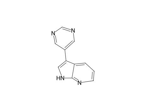 c1cnc2[nH]cc(-c3cncnc3)c2c1